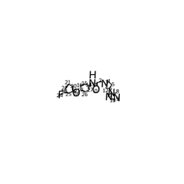 O=C(CN1CC[C@H](n2cncn2)C1)Nc1ccc(Oc2cccc(F)c2)cc1